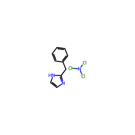 ClN(Cl)Cl.c1ccc(Cc2ncc[nH]2)cc1